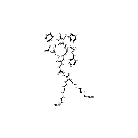 CCCCCCCCCCCCCCCCCCN(CCCCCCCCCCCCCCCCCC)C(=O)COC(=O)CNC(=O)CN1CCN(CC(=O)OCc2ccccc2)CCN(CC(=O)OCc2ccccc2)CCN(CC(=O)OCc2ccccc2)CC1